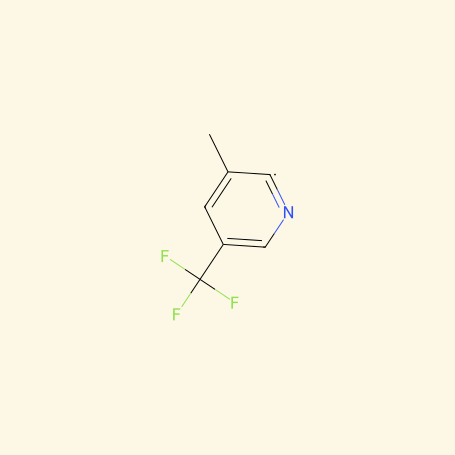 Cc1[c]ncc(C(F)(F)F)c1